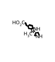 CN1C2=C(C=CC(/C=C/C(=O)O)C2)NC1[C@@H]1CCNC1